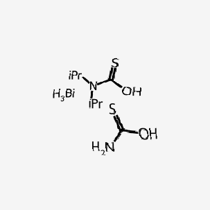 CC(C)N(C(O)=S)C(C)C.NC(O)=S.[BiH3]